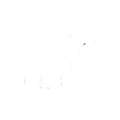 CCOC(=O)[C@H](CS)NCc1cccc(Cc2ccccc2)c1